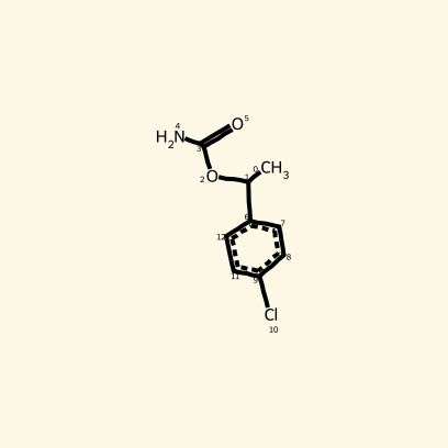 CC(OC(N)=O)c1ccc(Cl)cc1